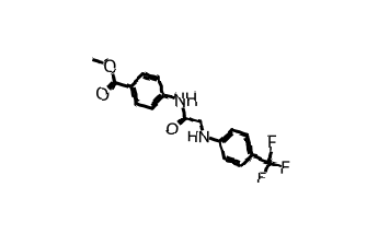 COC(=O)c1ccc(NC(=O)CNc2ccc(C(F)(F)F)cc2)cc1